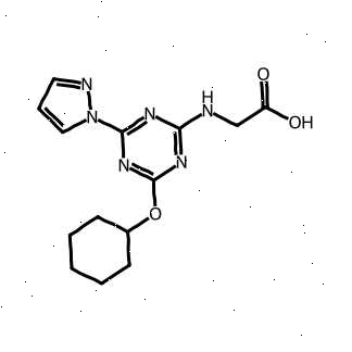 O=C(O)CNc1nc(OC2CCCCC2)nc(-n2cccn2)n1